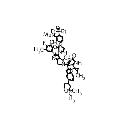 CCP(=O)(CC)c1ccc(-n2ccn(-c3c4c(nn3-c3cc(C)c(F)c(C)c3)CCN(C(=O)c3cc5cc(C6CCOC(C)(C)C6)ccc5n3C3(c5noc(=O)[nH]5)CC3C)C4C)c2=O)cc1NC